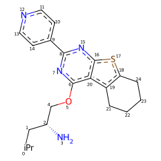 CC(C)C[C@@H](N)COc1nc(-c2ccncc2)nc2sc3c(c12)CCCC3